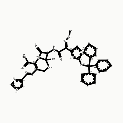 CON=C(C(=O)NC1C(=O)N2C(C(=O)O)=C(C=Cc3cscn3)CS[C@@H]12)c1csc(NC(c2ccccc2)(c2ccccc2)c2ccccc2)n1